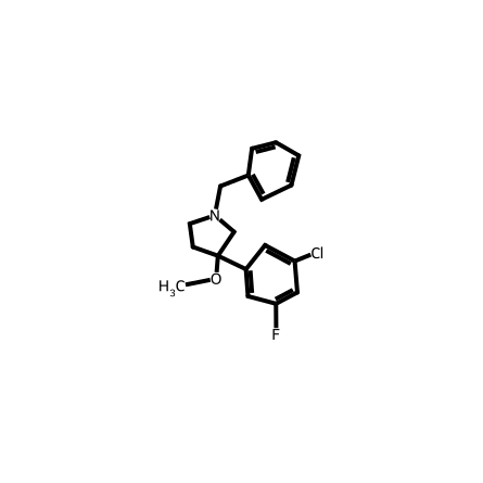 COC1(c2cc(F)cc(Cl)c2)CCN(Cc2ccccc2)C1